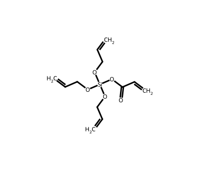 C=CCO[Si](OCC=C)(OCC=C)OC(=O)C=C